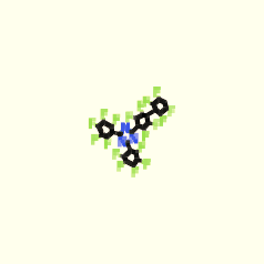 Fc1cc(F)c(F)c(-c2c(F)c(F)c(-c3nc(-c4c(F)c(F)c(F)c(F)c4F)nc(-c4c(F)c(F)c(F)c(F)c4F)n3)c(F)c2F)c1F